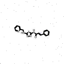 O=C(/C=C/c1ccccc1)Nc1nnc(NCc2ccccn2)s1